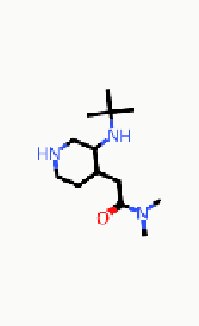 CN(C)C(=O)CC1CCNCC1NC(C)(C)C